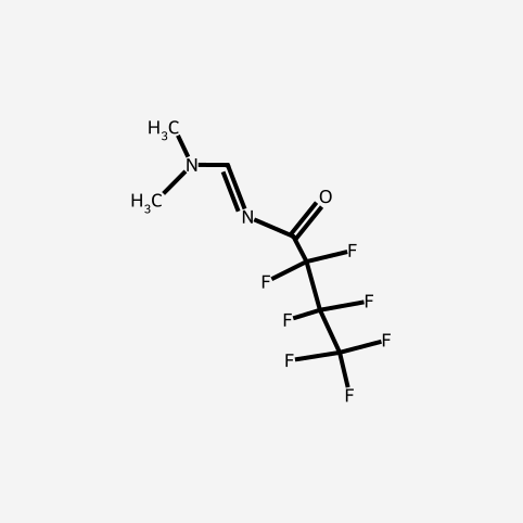 CN(C)C=NC(=O)C(F)(F)C(F)(F)C(F)(F)F